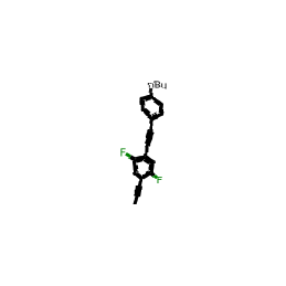 CC#Cc1cc(F)c(C#Cc2ccc(CCCC)cc2)cc1F